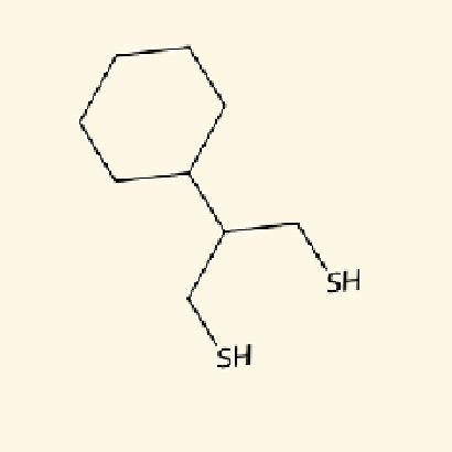 SCC(CS)C1CCCCC1